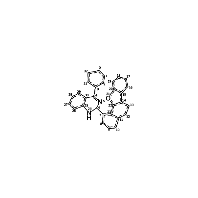 c1ccc(C2=NC(c3cccc4ccc5c6ccccc6oc5c34)Nc3ccccc32)cc1